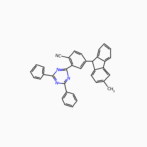 Cc1ccc2c(c1)-c1ccccc1C2c1ccc(C#N)c(-c2nc(-c3ccccc3)nc(-c3ccccc3)n2)c1